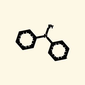 CC(C)N(c1cc[c]cc1)c1ccccc1